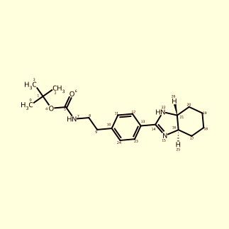 CC(C)(C)OC(=O)NCCc1ccc(C2=N[C@@H]3CCCC[C@H]3N2)cc1